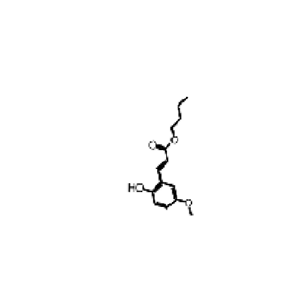 CCCCOC(=O)C=Cc1cc(OC)ccc1O